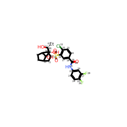 CC[C@@H](O)[C@H](O)[C@]1(O)C2CCC1C[C@@H](S(=O)(=O)c1cc(C(=O)Nc3ccc(F)c(F)c3)ccc1Cl)C2